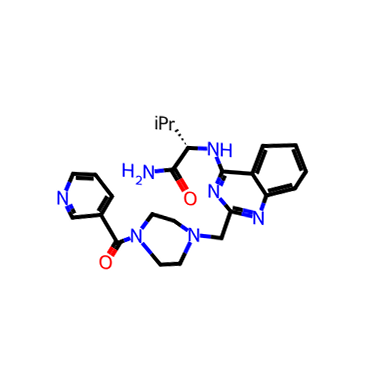 CC(C)[C@H](Nc1nc(CN2CCN(C(=O)c3cccnc3)CC2)nc2ccccc12)C(N)=O